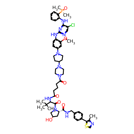 COc1cc(N2CCC(N3CCN(C(=O)CCCC(=O)NC(C(=O)N4C[C@H](O)C[C@H]4C(=O)NCc4ccc(-c5scnc5C)cc4)C(C)(C)C)CC3)CC2)ccc1Nc1ncc(Cl)c(Nc2ccccc2P(C)(C)=O)n1